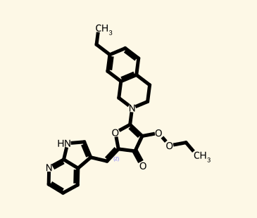 CCOOC1=C(N2CCc3ccc(CC)cc3C2)O/C(=C\c2c[nH]c3ncccc23)C1=O